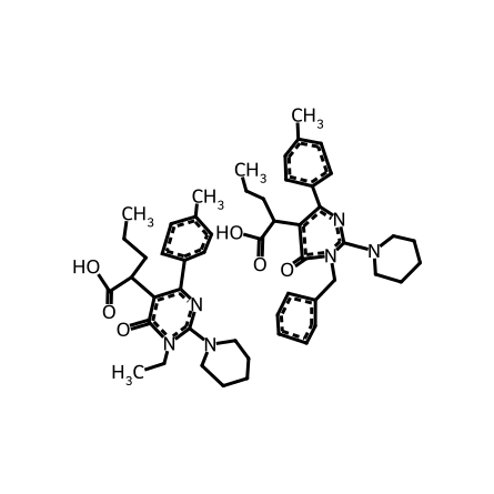 CCCC(C(=O)O)c1c(-c2ccc(C)cc2)nc(N2CCCCC2)n(CC)c1=O.CCCC(C(=O)O)c1c(-c2ccc(C)cc2)nc(N2CCCCC2)n(Cc2ccccc2)c1=O